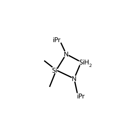 CC(C)N1[SiH2]N(C(C)C)[Si]1(C)C